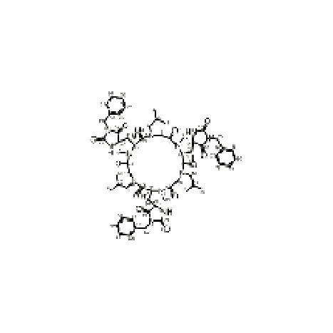 CC(C)CN1CC(=O)N2C[C@]3(C[C@H]2C(=O)N(CC(C)C)CC(=O)N2C[C@]4(C[C@H]2C(=O)N(CC(C)C)CC(=O)N2C[C@]5(C[C@H]2C1=O)NC(=O)N(Cc1ccccc1)C5=O)NC(=O)N(Cc1ccccc1)C4=O)NC(=O)N(Cc1ccccc1)C3=O